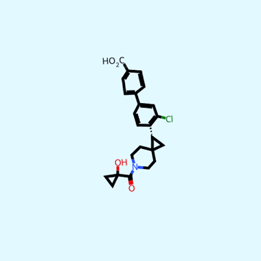 O=C(O)c1ccc(-c2ccc([C@@H]3CC34CCN(C(=O)C3(O)CC3)CC4)c(Cl)c2)cc1